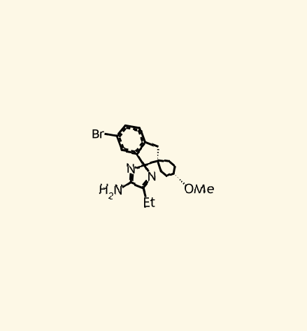 CCC1=NC2(N=C1N)c1cc(Br)ccc1C[C@]21CC[C@@H](OC)CC1